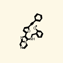 COc1ccccc1CNc1c(-c2ccc(C#Cc3ccccc3)o2)nc2cnccn12